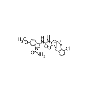 COc1ccc2c(NC(=O)N[C@@H](CC3CC3)C(=O)NCc3cccc(Cl)c3F)cn(C(N)=O)c2c1